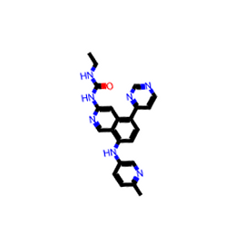 CCNC(=O)Nc1cc2c(-c3ccncn3)ccc(Nc3ccc(C)nc3)c2cn1